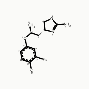 C[C@@H](C[C@@H]1COC(N)=N1)Oc1ccc(Cl)c(F)c1